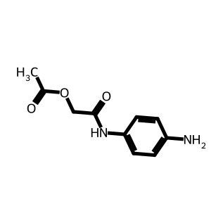 CC(=O)OCC(=O)Nc1ccc(N)cc1